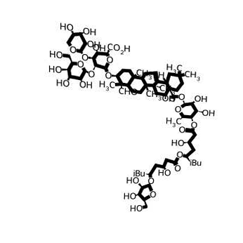 CC[C@H](C)C(C[C@H](O)CC(=O)O[C@H]1[C@@H](O)[C@H](O)[C@@H](OC(=O)[C@]23CCC(C)(C)C[C@H]2C2=CCC4[C@@]5(C)CC[C@H](OC6O[C@H](C(=O)O)[C@@H](O)[C@H](O[C@H]7OC[C@@H](O)[C@H](O)[C@H]7O)[C@H]6O[C@@H]6O[C@H](CO)[C@H](O)[C@H](O)[C@H]6O)[C@@](C)(C=O)C5CC[C@@]4(C)[C@]2(C)C[C@H]3O)O[C@H]1C)OC(=O)C[C@@H](O)CC(O[C@@H]1O[C@@H](CO)[C@H](O)[C@H]1O)[C@@H](C)CC